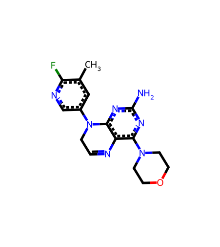 Cc1cc(N2CC=Nc3c(N4CCOCC4)nc(N)nc32)cnc1F